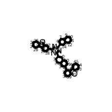 C1=C(c2nc(-c3ccc4ccccc4c3)nc(-c3ccc4c(c3)oc3ccccc34)n2)CCc2cc(-c3cccc4oc5ccccc5c34)ccc21